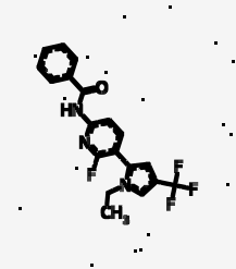 CCn1cc(C(F)(F)F)cc1-c1ccc(NC(=O)c2ccccc2)nc1F